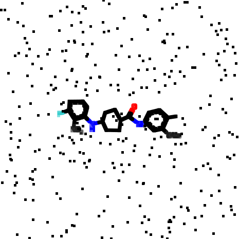 COc1cc(NC(=O)C2CCC(Nc3cccc(F)c3[N+](=O)[O-])CC2)ccc1C